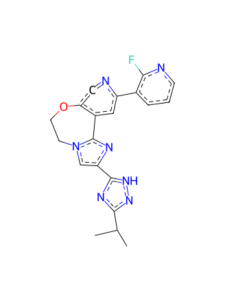 CC(C)c1n[nH]c(-c2cn3c(n2)-c2cc(-c4cccnc4F)ncc2OCC3)n1